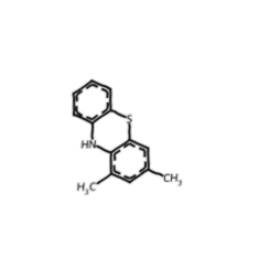 Cc1cc(C)c2c(c1)Sc1ccccc1N2